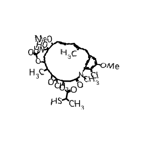 COc1cc2cc(c1Cl)N(C)C(=O)CC(OC(=O)C(C)S)C1(C)OC1C(C)C1CC(O)(NC(=O)O1)C(OC)/C=C/C=C(\C)C2